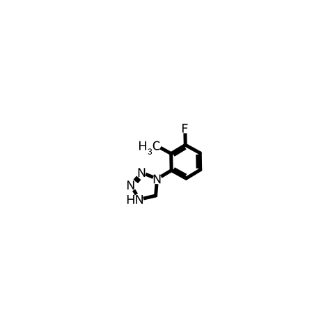 Cc1c(F)cccc1N1CNN=N1